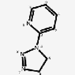 c1ccc(N2CCN=N2)nc1